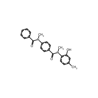 Cc1ccc(N(C)C(=O)c2ccc(N(C)C(=O)c3ccccc3)cc2)c(O)c1